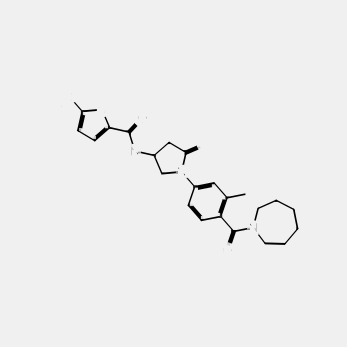 Bc1ccc(C(=O)NC2CC(=O)N(c3ccc(C(=O)N4CCCCCC4)c(C)c3)C2)s1